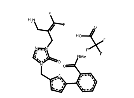 CNC(=O)c1ccccc1-c1ccc(Cn2cnn(CC(CN)=C(F)F)c2=O)s1.O=C(O)C(F)(F)F